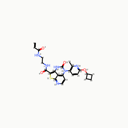 C=CC(=O)NCCNC(=O)c1sc2nccc3c2c1NC(=O)N3c1ccc(OC2CCC2)nc1C